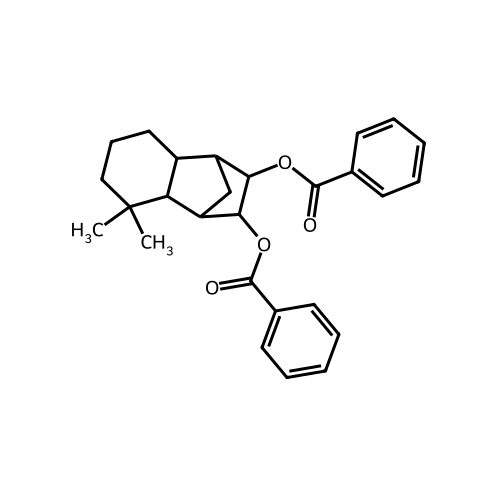 CC1(C)CCCC2C3CC(C(OC(=O)c4ccccc4)C3OC(=O)c3ccccc3)C21